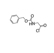 O=C(Cl)CNC(=O)OCc1ccccc1